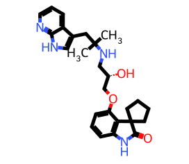 CC(C)(Cc1c[nH]c2ncccc12)NC[C@H](O)COc1cccc2c1C1(CCCC1)C(=O)N2